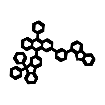 c1ccc(-c2c3ccccc3c(-c3ccc4c(c3)C(c3ccccc3)(c3ccccc3)c3ccccc3-4)c3cc(-c4cccc(-c5cccc6c5sc5ccccc56)c4)ccc23)cc1